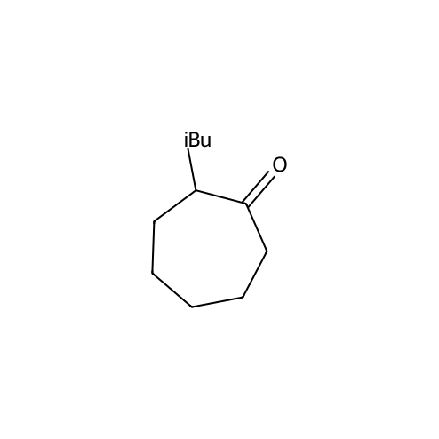 CCC(C)C1CCCCCC1=O